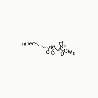 CCCCCCCCCCCCCCCC(=O)NC(=O)CC[C@H](N)C(=O)OC